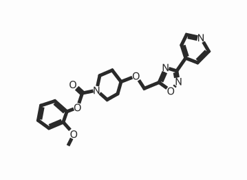 COc1ccccc1OC(=O)N1CCC(OCc2nc(-c3ccncc3)no2)CC1